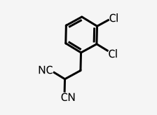 N#CC(C#N)Cc1cccc(Cl)c1Cl